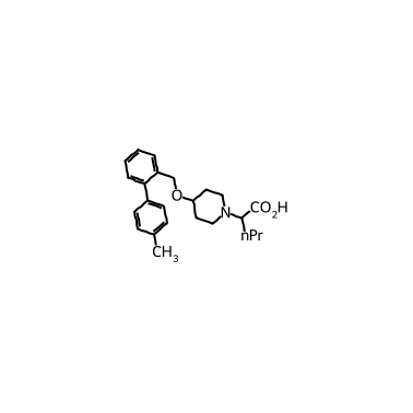 CCCC(C(=O)O)N1CCC(OCc2ccccc2-c2ccc(C)cc2)CC1